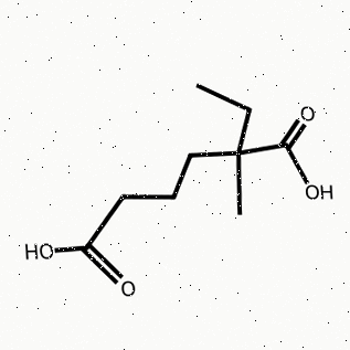 CCC(C)(CCCC(=O)O)C(=O)O